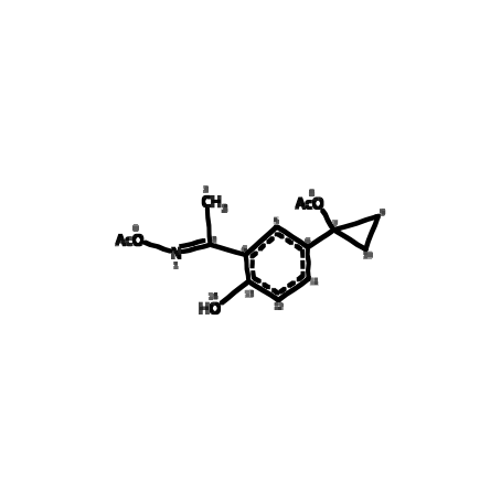 CC(=O)ON=C(C)c1cc(C2(OC(C)=O)CC2)ccc1O